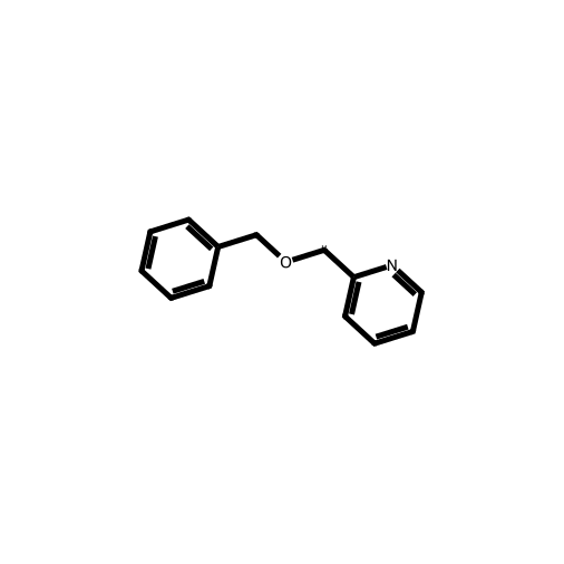 [C](OCc1ccccc1)c1ccccn1